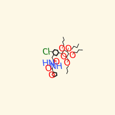 CCCCOC[C@H]1O[C@@H](c2ccc(Cl)c(CC(=O)NNC(=O)c3ccco3)c2)[C@H](OCCCC)[C@@H](OCCCC)[C@@H]1OCCCC